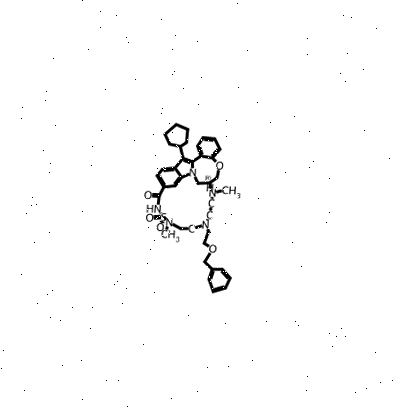 CN1CCN(CCOCc2ccccc2)CCN(C)S(=O)(=O)NC(=O)c2ccc3c(C4CCCCC4)c4n(c3c2)C[C@@H]1COc1ccccc1-4